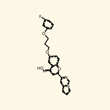 O/N=c1/cc(-c2cc3cccn3cn2)oc2ccc(OCCCOc3cccc(F)c3)cc12